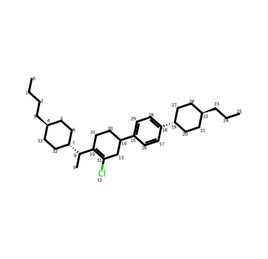 CCCC[C@H]1CC[C@H](C(C)C2=C(Cl)CC(c3ccc([C@H]4CC[C@H](CCC)CC4)cc3)CC2)CC1